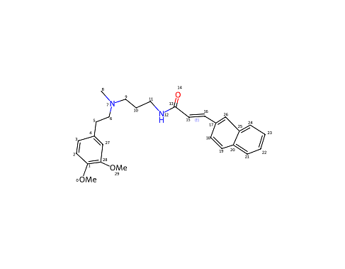 COc1ccc(CCN(C)CCCNC(=O)/C=C/c2ccc3ccccc3c2)cc1OC